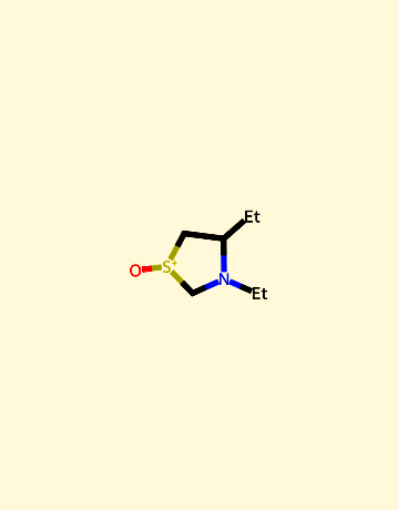 CCC1C[S+]([O-])CN1CC